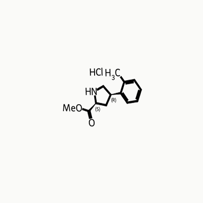 COC(=O)[C@@H]1C[C@H](c2ccccc2C)CN1.Cl